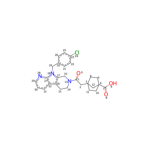 O=C(CC12CCC(C(=O)O)(CC1)C2)N1CCc2c(n(Cc3ccc(Cl)cc3)c3ncccc23)C1